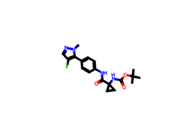 Cn1ncc(F)c1-c1ccc(NC(=O)C2(NC(=O)OC(C)(C)C)CC2)cc1